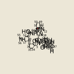 COc1c(CN2O[C@@H](CN=C(N(C)C)N(C)C)[C@@H]([C@H](C)O)[C@H]2C(=O)N[C@H]2C[C@H]3C[C@@H]([C@@H]2C)C3(C)C)cccc1-c1cc(C(O)NCCc2ccccc2)cc(N(C)C)c1